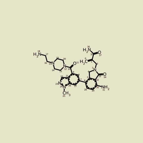 C=C(CN1Cc2c(-c3cc(C(=O)N4CCN(CCN)CC4)c4cnn(C)c4c3)ccc(N)c2C1=O)C(N)=O